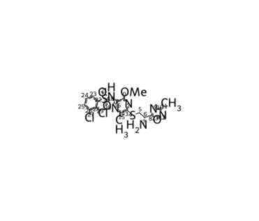 COc1nc(SC[C@@H](N)c2nc(C)no2)c(C)nc1NS(=O)(=O)c1cccc(Cl)c1Cl